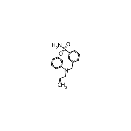 C=CCN(Cc1cccc(S(N)(=O)=O)c1)c1ccccc1